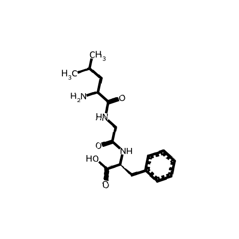 CC(C)CC(N)C(=O)NCC(=O)N[C@@H](Cc1ccccc1)C(=O)O